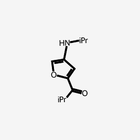 CC(C)Nc1coc(C(=O)C(C)C)c1